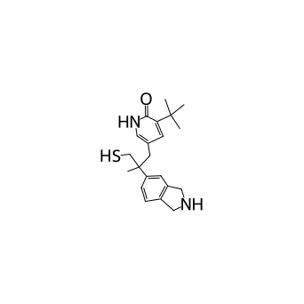 CC(C)(C)c1cc(CC(C)(CS)c2ccc3c(c2)CNC3)c[nH]c1=O